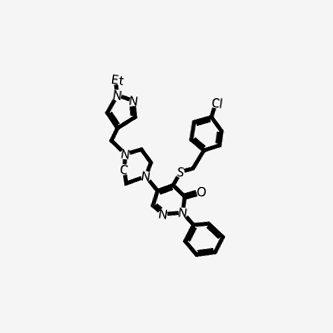 CCn1cc(CN2CCN(c3cnn(-c4ccccc4)c(=O)c3SCc3ccc(Cl)cc3)CC2)cn1